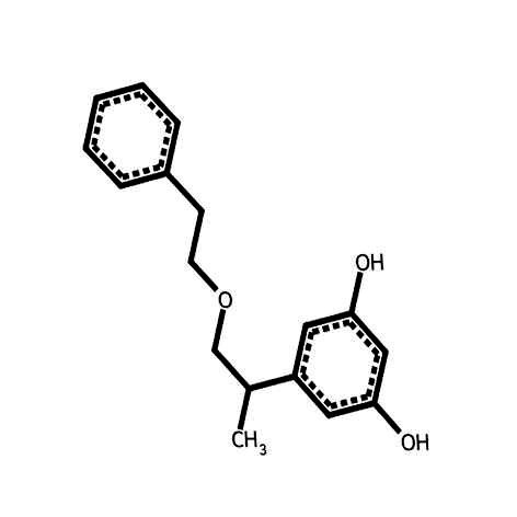 CC(COCCc1ccccc1)c1cc(O)cc(O)c1